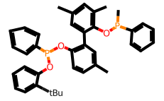 Cc1ccc(OP(Oc2ccccc2C(C)(C)C)c2ccccc2)c(-c2cc(C)cc(C)c2OP(C)c2ccccc2)c1